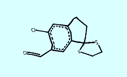 O=Cc1cc2c(cc1Cl)CCC21SCCS1